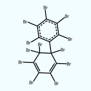 BrC1=C(Br)C(Br)(Br)C(Br)(c2c(Br)c(Br)c(Br)c(Br)c2Br)C(Br)=C1Br